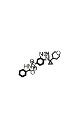 O=C(NS(=O)(=O)c1ccc(NC2(C3CCOCC3)CC2)c([N+](=O)[O-])c1)c1ccccc1